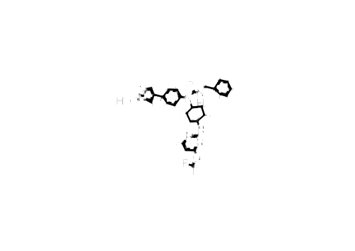 Cn1cc(-c2ccc(N(C(=O)NCc3ccccc3)C3CCC(Nc4nccc(OC(F)F)n4)CC3)cc2)cn1